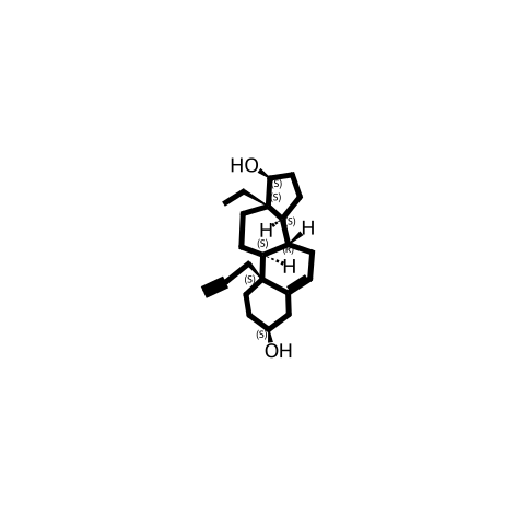 C#CC[C@]12CC[C@H](O)CC1=CC[C@@H]1[C@@H]2CC[C@]2(CC)[C@@H](O)CC[C@@H]12